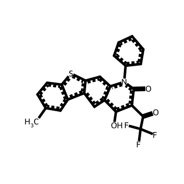 Cc1ccc2sc3cc4c(cc3c2c1)c(O)c(C(=O)C(F)(F)F)c(=O)n4-c1ccccc1